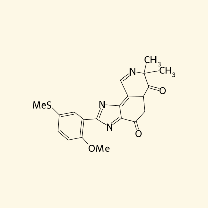 COc1ccc(SC)cc1C1=NC2=C3C=NC(C)(C)C(=O)C3CC(=O)C2=N1